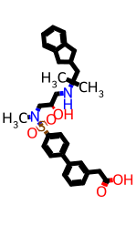 CN(C[C@H](O)CNC(C)(C)CC1Cc2ccccc2C1)S(=O)(=O)c1ccc(-c2cccc(CC(=O)O)c2)cc1